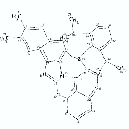 Cc1cc2cc3c4c(nc5oc6cccc7ccc(c(c76)n54)B3c3c(C(C)C)cccc3C(C)C)c2cc1C